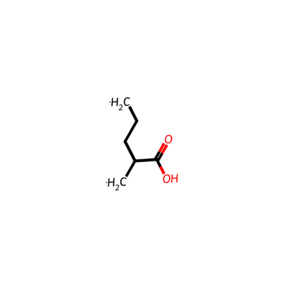 [CH2]CCC([CH2])C(=O)O